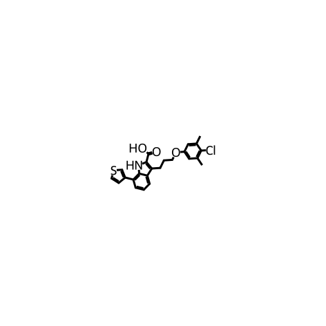 Cc1cc(OCCCc2c(C(=O)O)[nH]c3c(-c4ccsc4)cccc23)cc(C)c1Cl